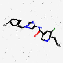 C=Cc1ncc(C(=O)Nc2cn(Cc3cccc(C)c3)cn2)cc1F